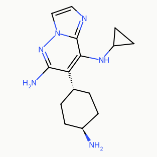 Nc1nn2ccnc2c(NC2CC2)c1[C@H]1CC[C@H](N)CC1